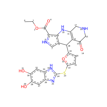 CCOC(=O)c1[nH]cc2c1NC1=C(C(=O)CNC1)C2c1ccc(Sc2nc3cc(O)c(O)cc3[nH]2)o1